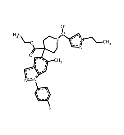 CCCn1cc([S+]([O-])N2CCC(C(=O)OCC)(c3cc4cnn(-c5ccc(F)cc5)c4cc3C)CC2)cn1